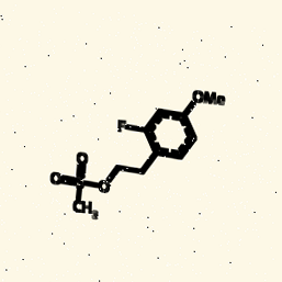 COc1ccc(CCOS(C)(=O)=O)c(F)c1